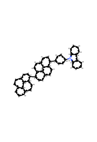 c1cc2ccc3ccc(-c4ccc5ccc6c(-c7ccc(-n8c9ccccc9c9ccccc98)cc7)ccc7ccc4c5c76)c4ccc(c1)c2c34